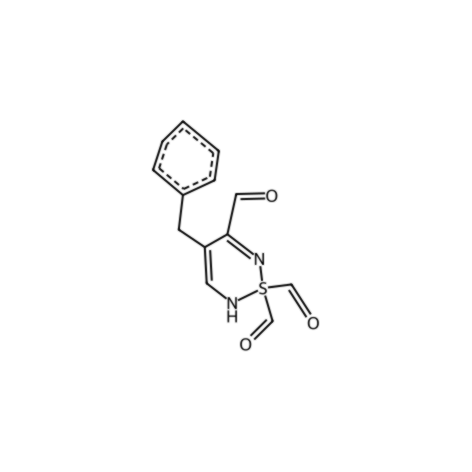 O=CC1=NS(C=O)(C=O)NC=C1Cc1ccccc1